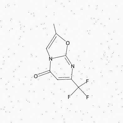 Cc1cn2c(=O)cc(C(F)(F)F)nc2o1